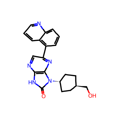 O=c1[nH]c2ncc(-c3cccc4ncccc34)nc2n1[C@H]1CC[C@H](CO)CC1